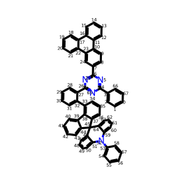 c1ccc(-c2nc(-c3ccc4c5ccccc5c5ccccc5c4c3)nc(-c3ccccc3-c3cccc4c3-c3ccccc3C43c4ccccc4N(c4ccccc4)c4ccccc43)n2)cc1